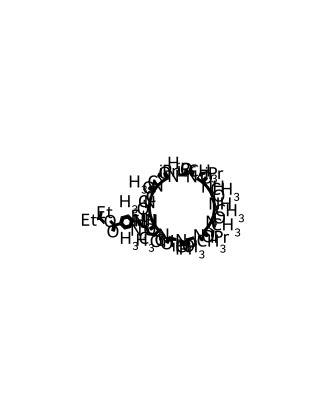 CCC(CC)COC(=O)c1ccc2[nH]c(C[C@@H](C)[C@@H](O)[C@H]3C(=O)N[C@@H](CC)C(=O)N(C)CC(=O)N(C)[C@@H](CC(C)C)C(=O)N[C@@H](C(C)C)C(=O)N(C)[C@@H](CC(C)C)C(=O)N[C@@H](C)C(=O)N[C@H](C)C(=O)N(C)[C@@H](CC(C)C)C(=O)N(C)[C@@H](CC(C)C)C(=O)N(C)[C@@H](C(C)C)C(=O)N3C)nc2c1